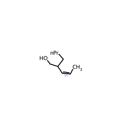 C/C=C\C(CO)CCCC